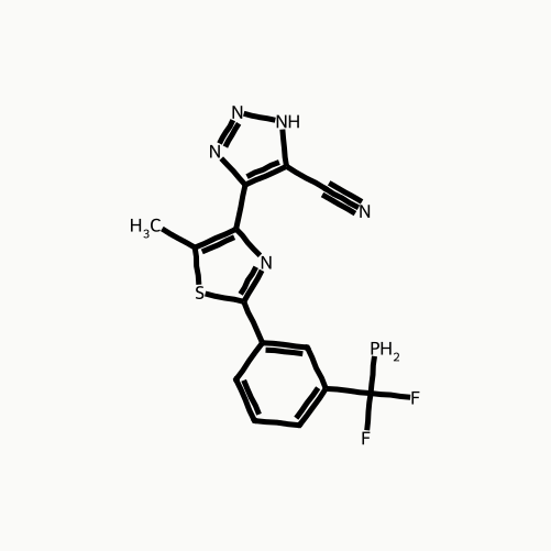 Cc1sc(-c2cccc(C(F)(F)P)c2)nc1-c1nn[nH]c1C#N